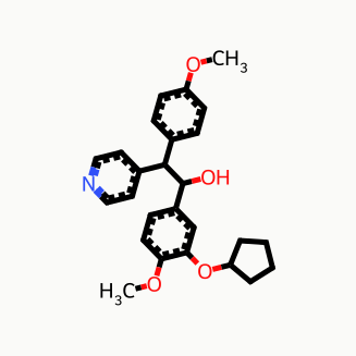 COc1ccc(C(c2ccncc2)C(O)c2ccc(OC)c(OC3CCCC3)c2)cc1